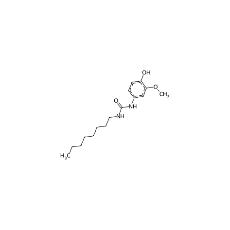 CCCCCCCCNC(=O)Nc1ccc(O)c(OC)c1